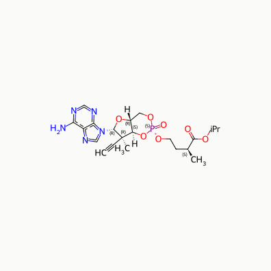 C#C[C@]1(C)[C@@H]2O[P@@](=O)(OCC[C@H](C)C(=O)OC(C)C)OC[C@H]2O[C@H]1n1cnc2c(N)ncnc21